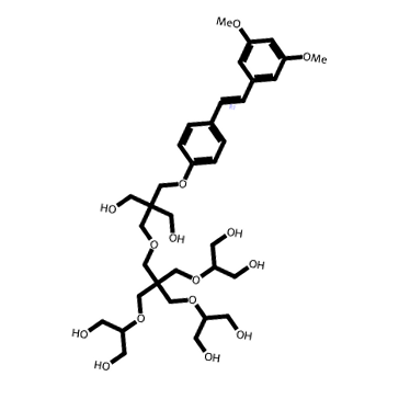 COc1cc(/C=C/c2ccc(OCC(CO)(CO)COCC(COC(CO)CO)(COC(CO)CO)COC(CO)CO)cc2)cc(OC)c1